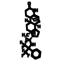 C[C@]12CC[C@H]3[C@@H](CC=C4NC(=O)CC[C@@]43C)[C@@H]1CC[C@@H]2C(=O)NC(c1ccccc1)(C(F)(F)F)C(F)(F)F